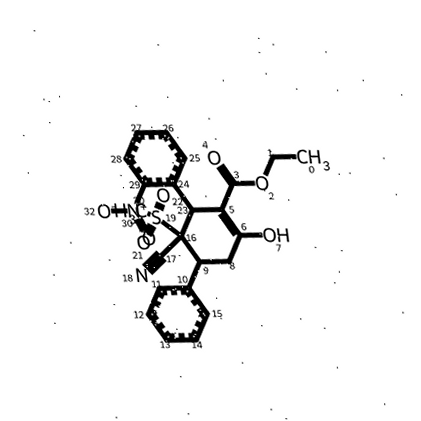 CCOC(=O)C1=C(O)CC(c2ccccc2)C(C#N)(S(C)(=O)=O)C1c1ccccc1[N+](=O)[O-]